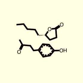 CC(=O)CCc1ccc(O)cc1.CCCCC[C@H]1CCC(=O)O1